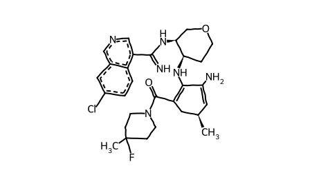 C[C@@H]1C=C(N)C(N[C@@H]2CCOC[C@@H]2NC(=N)c2cncc3cc(Cl)ccc23)=C(C(=O)N2CCC(C)(F)CC2)C1